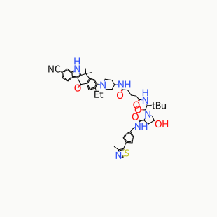 CCc1cc2c(cc1N1CCC(NC(=O)CCCC(=O)N[C@H](C(=O)N3C[C@H](O)C[C@H]3C(=O)NCc3ccc(-c4scnc4C)cc3)C(C)(C)C)CC1)C(C)(C)c1[nH]c3cc(C#N)ccc3c1C2=O